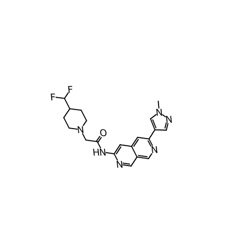 Cn1cc(-c2cc3cc(NC(=O)CN4CCC(C(F)F)CC4)ncc3cn2)cn1